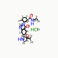 Cc1ccc(C(=O)NC2CC2)cc1-n1cnc2ccc(O[C@]3(C(C)C)CCNC3)cc2c1=O.Cl